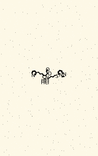 Cl.Cl.O=CC(=O)C1C(=CCCc2cccnc2)SCN1CCCCSc1cccc2nccn12